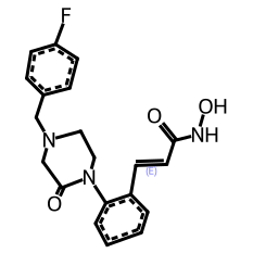 O=C(/C=C/c1ccccc1N1CCN(Cc2ccc(F)cc2)CC1=O)NO